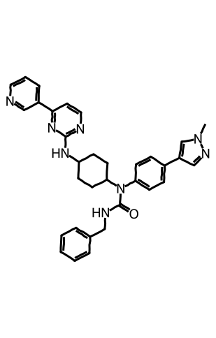 Cn1cc(-c2ccc(N(C(=O)NCc3ccccc3)C3CCC(Nc4nccc(-c5cccnc5)n4)CC3)cc2)cn1